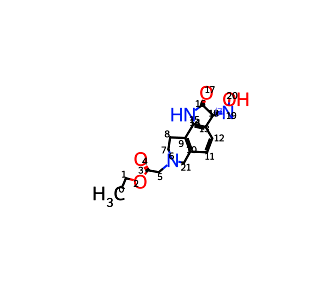 CCOC(=O)CN1CCc2c(ccc3c2NC(=O)/C3=N\O)C1